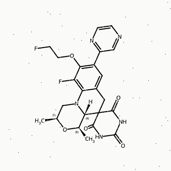 C[C@H]1CN2c3c(cc(-c4cnccn4)c(OCCF)c3F)CC3(C(=O)NC(=O)NC3=O)[C@@H]2[C@@H](C)O1